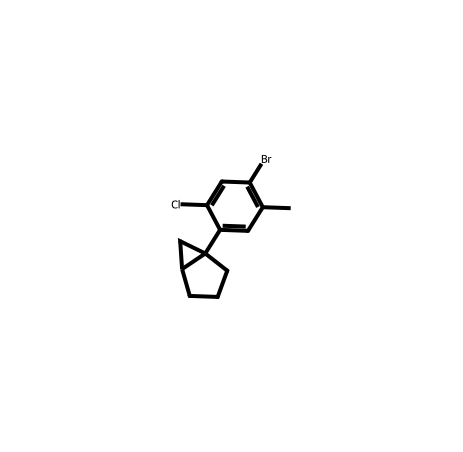 Cc1cc(C23CCCC2C3)c(Cl)cc1Br